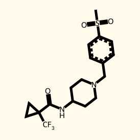 CS(=O)(=O)c1ccc(CN2CCC(NC(=O)C3(C(F)(F)F)CC3)CC2)cc1